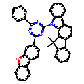 CC1(C)c2ccccc2-c2ccc3c4ccccc4n(-c4nc(-c5ccccc5)nc(-c5ccc6c(c5)oc5ccccc56)n4)c3c21